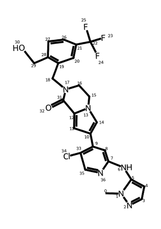 Cn1nccc1Nc1cc(-c2cc3n(c2)CCN(Cc2cc(C(F)(F)F)ccc2CO)C3=O)c(Cl)cn1